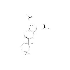 CC(=O)O[C@H]1O[C@@H](OC(C)=O)[C@@H]2CC=C([C@@]3(C)CCCC(C)(C)C3)C[C@H]12